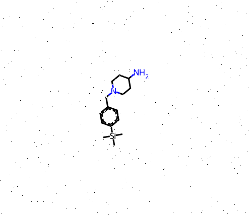 C[Si](C)(C)c1ccc(CN2CCC(N)CC2)cc1